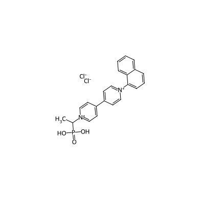 CC([n+]1ccc(-c2cc[n+](-c3cccc4ccccc34)cc2)cc1)P(=O)(O)O.[Cl-].[Cl-]